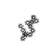 c1ccc(-c2ccc(-c3nc(-c4ccccc4)nc(-c4cccc(-c5cccc(-c6ccc7c(c6)-c6cc8c(cc6C76CCCCC6)-c6ccccc6C86CCCCC6)c5)c4)n3)cc2)cc1